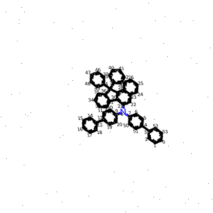 c1ccc(-c2ccc(N(c3ccc(-c4ccccc4)cc3)c3cc4ccccc4c4c3-c3ccccc3C4(c3ccccc3)c3ccccc3)cc2)cc1